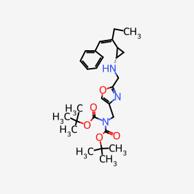 CCC(=Cc1ccccc1)C1C[C@@H]1NCc1nc(CN(C(=O)OC(C)(C)C)C(=O)OC(C)(C)C)co1